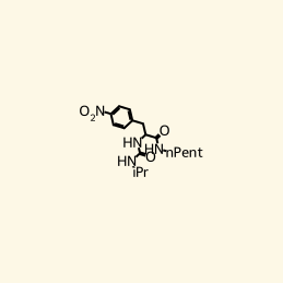 CCCCCNC(=O)C(Cc1ccc([N+](=O)[O-])cc1)NC(=O)NC(C)C